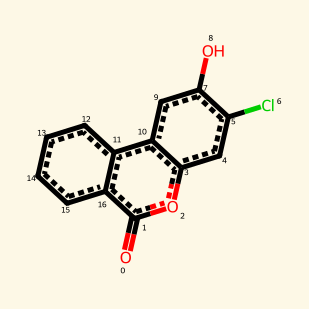 O=c1oc2cc(Cl)c(O)cc2c2ccccc12